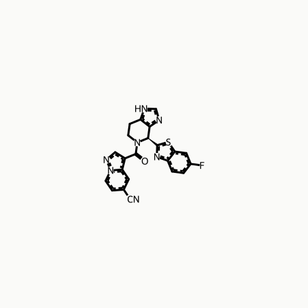 N#Cc1ccn2ncc(C(=O)N3CCc4[nH]cnc4[C@H]3c3nc4ccc(F)cc4s3)c2c1